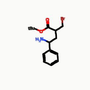 CC(C)(C)OC(=O)C(CBr)CC(N)c1ccccc1